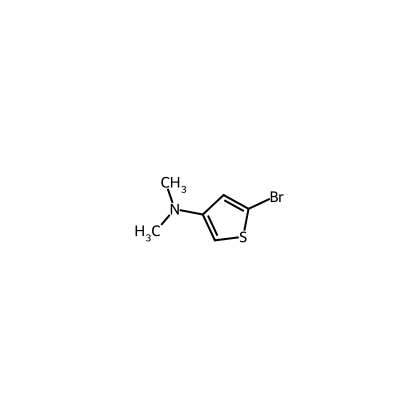 CN(C)c1csc(Br)c1